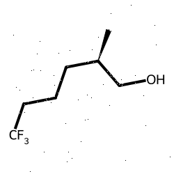 C[C@@H](CO)CCCC(F)(F)F